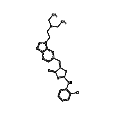 CCN(CC)CCn1cnc2ccc(C=C3SC(Nc4ccccc4Cl)=NC3=O)cc21